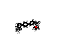 CCC(C[C@](C)(C(=O)O)S(C)(=O)=O)c1ccc(-c2ccc(OP(=O)(OC(C)(C)C)OC(C)(C)C)cc2)cc1